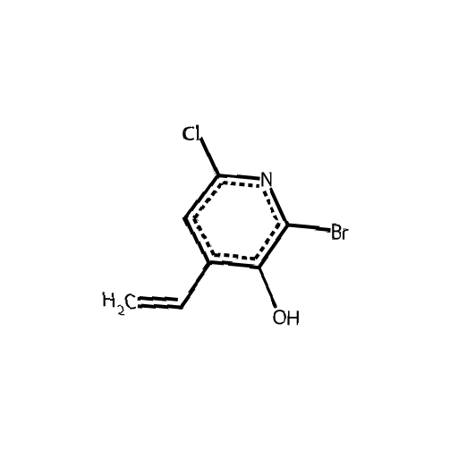 C=Cc1cc(Cl)nc(Br)c1O